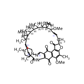 COc1c(C)c2c3c4c1C(=O)C(=C(/C=N/N1CCN(C)CC1)C4=O)NC(=O)/C(C)=C\C=C\[C@H](C)[C@H](OC)[C@@H](C)[C@@H](O)[C@@H](C)[C@H](OC(C)=O)[C@H](C)[C@@H](OC)/C=C/O[C@@](C)(O2)C3=O